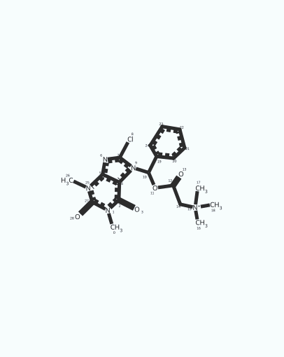 Cn1c(=O)c2c(nc(Cl)n2C(OC(=O)C[N+](C)(C)C)c2ccccc2)n(C)c1=O